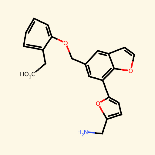 NCc1ccc(-c2cc(COc3ccccc3CC(=O)O)cc3ccoc23)o1